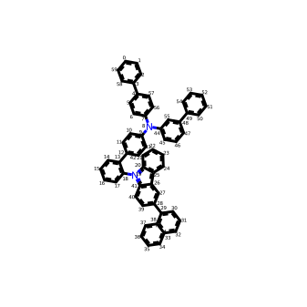 c1ccc(-c2ccc(N(c3ccc(-c4ccccc4-n4c5ccccc5c5cc(-c6cccc7ccccc67)ccc54)cc3)c3cccc(-c4ccccc4)c3)cc2)cc1